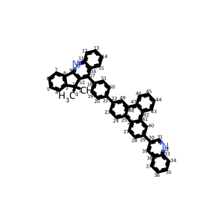 CC1(C)c2ccccc2-c2nc3ccccc3c(-c3ccc(-c4ccc5c6ccc(-c7cnc8ccccc8c7)cc6c6ccccc6c5c4)cc3)c21